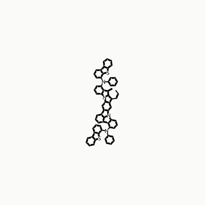 C=c1c2c(N(c3ccccc3)c3cccc4c3sc3ccccc34)cccc2n2c1c(/C=C\C)c1cc3c(cc12)c1cccc2c4c(N(c5ccccc5)c5cccc6c5sc5ccccc56)cccc4n3c12